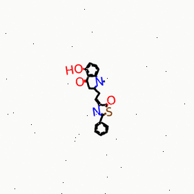 CN1c2cccc(O)c2C(=O)CC1C/C=C1/N=C(c2ccccc2)SC1=O